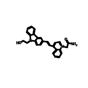 NC(=O)C[n+]1ccc(/C=C/c2ccc3c(c2)c2ccccc2n3CCO)c2ccccc21